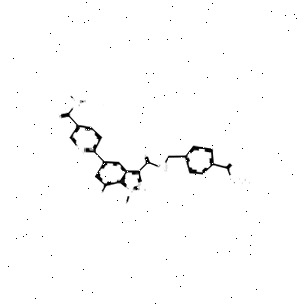 CCn1nc(C(=O)NCc2ccc(C(=O)NC)cc2)c2cc(-c3ccc(C(=O)N(C)C)cn3)cc(F)c21